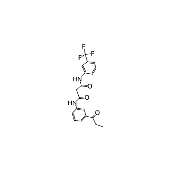 CCC(=O)c1cccc(NC(=O)CC(=O)Nc2cccc(C(F)(F)F)c2)c1